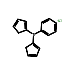 C1=CC[C]([Ti]([C]2=CC=CC2)[c]2ccccc2)=C1.Cl